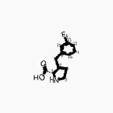 O=C(O)[C@H]1NCCC1Cc1cccc(F)c1